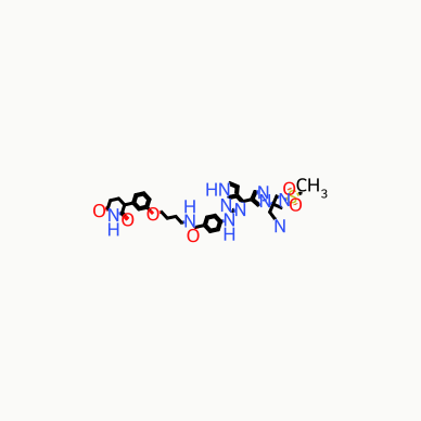 CCS(=O)(=O)N1CC(CC#N)(n2cc(-c3nc(Nc4ccc(C(=O)NCCCCOc5cccc(C6CCC(=O)NC6=O)c5)cc4)nc4[nH]ccc34)cn2)C1